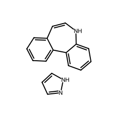 C1=Cc2ccccc2-c2ccccc2N1.c1cn[nH]c1